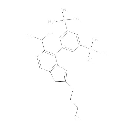 CCCCC1=Cc2c(ccc(C(C)C)c2-c2cc([Si](C)(C)C)cc([Si](C)(C)C)c2)[CH]1